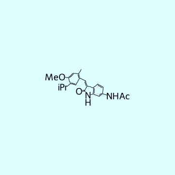 COc1cc(C)c(C=C2C(=O)Nc3cc(NC(C)=O)ccc32)cc1C(C)C